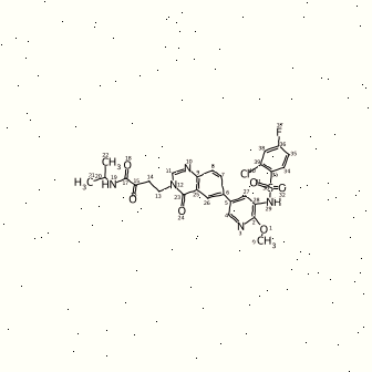 COc1ncc(-c2ccc3ncn(CCC(=O)C(=O)NC(C)C)c(=O)c3c2)cc1NS(=O)(=O)c1ccc(F)cc1Cl